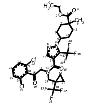 CCOC(=O)C1(C)CCC(n2ncc(C(=O)N(CC(=O)c3c(Cl)cccc3Cl)CC3(C(F)(F)F)CC3)c2C(F)(F)F)CC1